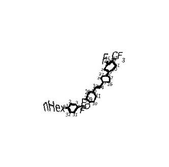 CCCCCCc1ccc(C(F)(F)OC2CCC(/C=C/C3CCC(c4ccc(C(F)(F)F)c(F)c4)CC3)CC2)cc1